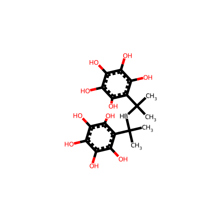 CC(C)(BC(C)(C)c1c(O)c(O)c(O)c(O)c1O)c1c(O)c(O)c(O)c(O)c1O